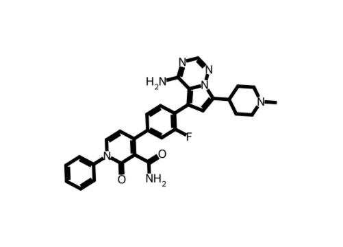 CN1CCC(c2cc(-c3ccc(-c4ccn(-c5ccccc5)c(=O)c4C(N)=O)cc3F)c3c(N)ncnn23)CC1